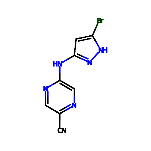 N#Cc1cnc(Nc2cc(Br)[nH]n2)cn1